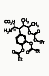 CCC(=O)Oc1ccc(C(C(C)C(C)OC(=O)OC(C)C)[C@H](N)C(=O)O)cc1OC(=O)CC